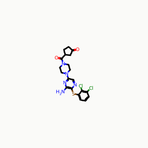 Nc1nc(N2CCN(C(=O)C3CCC(=O)C3)CC2)cnc1Sc1cccc(Cl)c1Cl